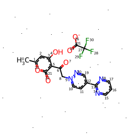 Cc1cc(O)c(C(=O)C[n+]2ccc(-c3ncccn3)cn2)c(=O)o1.O=C([O-])C(F)(F)F